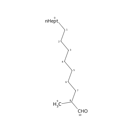 CCCCCCCCCCCCCCC(C)C=O